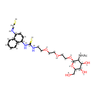 CC(=O)NC1C(O)[C@@H](O)C(CO)O[C@H]1OCCOCCOCCNC(=S)Nc1ccc(N=C=S)c2ccccc12